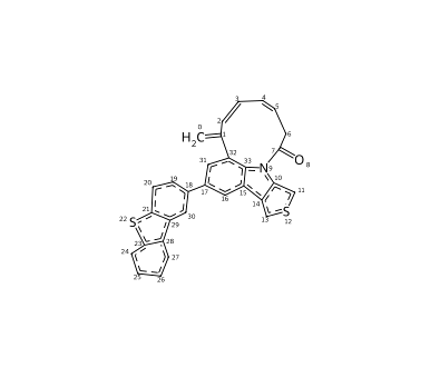 C=C1/C=C\C=C/CC(=O)n2c3cscc3c3cc(-c4ccc5sc6ccccc6c5c4)cc1c32